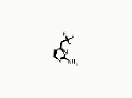 Nc1nccc(CC(F)(F)F)n1